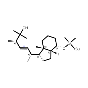 C[C@H](/C=C/[C@@H](C)C(C)(C)O)[C@H]1CC[C@H]2[C@@H](O[Si](C)(C)C(C)(C)C)CCC[C@@]12C